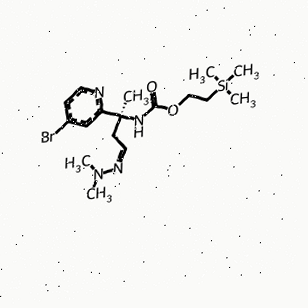 CN(C)/N=C\C[C@](C)(NC(=O)OCC[Si](C)(C)C)c1cc(Br)ccn1